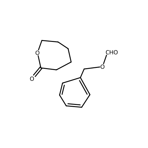 O=C1CCCCCO1.O=COCc1ccccc1